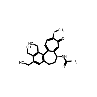 COc1ccc2c(cc1=O)[C@@H](NC(C)=O)CCc1cc(CO)c(CO)c(CO)c1-2